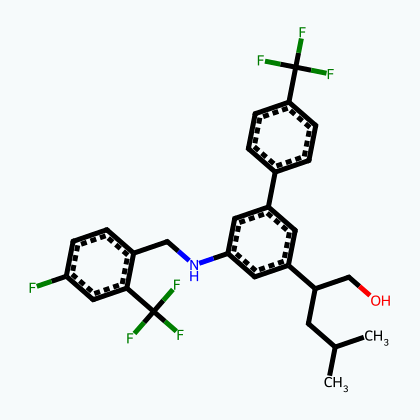 CC(C)CC(CO)c1cc(NCc2ccc(F)cc2C(F)(F)F)cc(-c2ccc(C(F)(F)F)cc2)c1